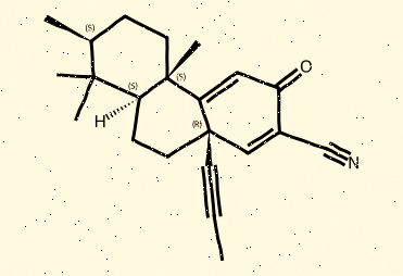 CC#C[C@]12C=C(C#N)C(=O)C=C1[C@@]1(C)CC[C@H](C)C(C)(C)[C@@H]1CC2